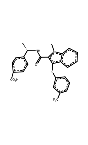 C[C@H](NC(=O)c1c(Sc2cccc(C(F)(F)F)c2)c2ccccc2n1C)c1ccc(C(=O)O)cc1